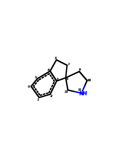 c1ccc2c(c1)CCC21CCNC1